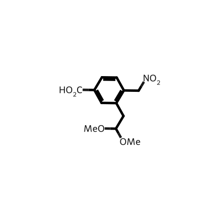 COC(Cc1cc(C(=O)O)ccc1C[N+](=O)[O-])OC